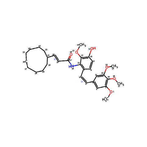 COc1cc(/C=C\c2ccc(O)c(OC)c2NC(=O)/C=C/C2CCCCCCCCC2)cc(OC)c1OC